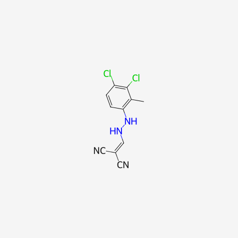 Cc1c(NNC=C(C#N)C#N)ccc(Cl)c1Cl